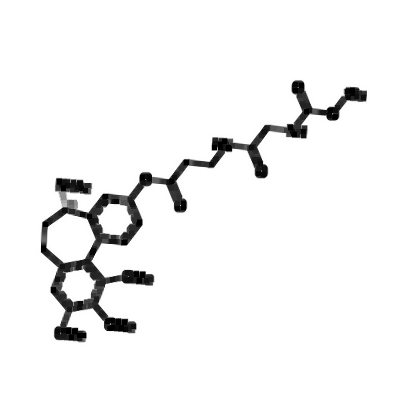 COc1cc2c(c(OC)c1OC)-c1ccc(OC(=O)CCNC(=O)CNC(=O)OC(C)(C)C)cc1[C@@H](NC(C)=O)CC2